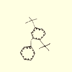 CC(C)(O)c1ccc(C(C)(C)O)c(-c2ccccc2)c1